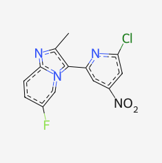 Cc1nc2ccc(F)cn2c1-c1cc([N+](=O)[O-])cc(Cl)n1